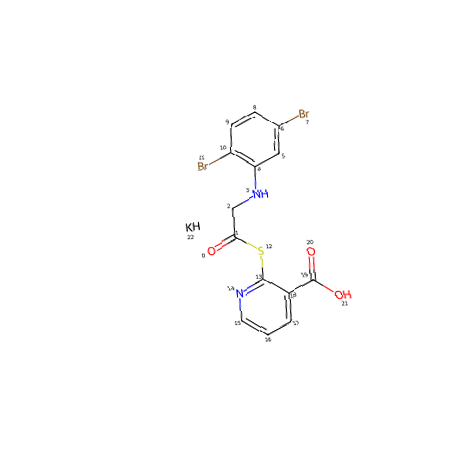 O=C(CNc1cc(Br)ccc1Br)Sc1ncccc1C(=O)O.[KH]